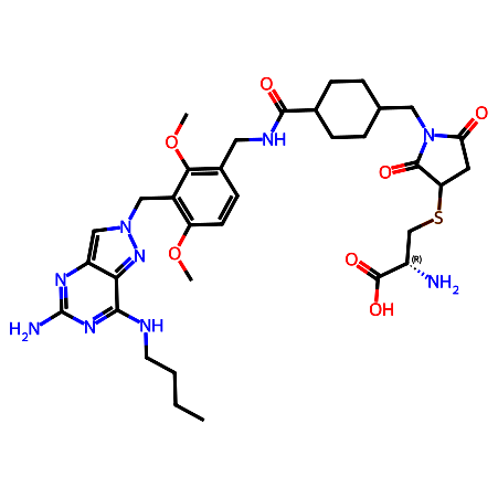 CCCCNc1nc(N)nc2cn(Cc3c(OC)ccc(CNC(=O)C4CCC(CN5C(=O)CC(SC[C@H](N)C(=O)O)C5=O)CC4)c3OC)nc12